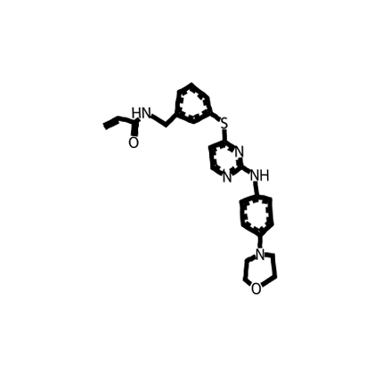 C=CC(=O)NCc1cccc(Sc2ccnc(Nc3ccc(N4CCOCC4)cc3)n2)c1